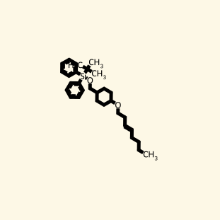 CCCC/C=C/CCOC1CCC(CO[Si](c2ccccc2)(c2ccccc2)C(C)(C)C)CC1